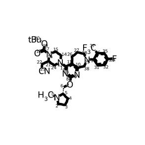 CN1CCC[C@H]1COc1nc2c(c(N3CCN(C(=O)OC(C)(C)C)C(CC#N)C3)n1)CCCN(c1ccc(F)cc1C(F)(F)F)C2